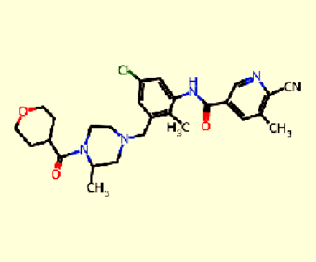 Cc1cc(C(=O)Nc2cc(Cl)cc(CN3CCN(C(=O)C4CCOCC4)C(C)C3)c2C)cnc1C#N